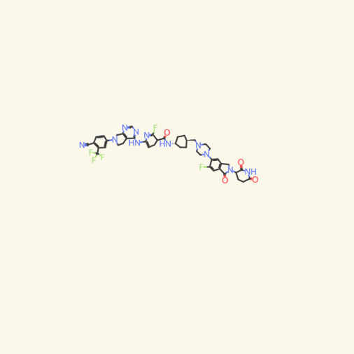 N#Cc1ccc(N2CCc3c(ncnc3NC3=CCC(C(=O)N[C@H]4CC[C@H](CN5CCN(c6cc7c(cc6F)C(=O)N(C6CCC(=O)NC6=O)C7)CC5)CC4)C(F)=N3)C2)cc1C(F)(F)F